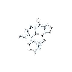 COC[C@@H]1CCCN1C(=O)c1ccc(C=O)c(N2CCOCC2)c1